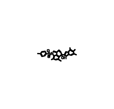 Cc1ccc(S(=O)(=O)n2cc3c4c(c(C)cc(C)c42)C(O)(C2=Cc4c(cc(C)c(C)c4C)C2)C=C3)cc1